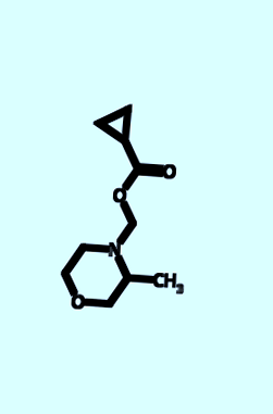 CC1COCCN1COC(=O)C1CC1